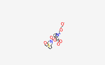 COCCOCC[N+]12CCC(CC1)[C@@H](OC(=O)N(Cc1ccco1)Cc1cccs1)C2.O=C[O-]